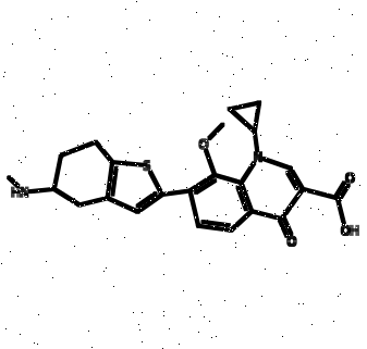 CNC1CCc2sc(-c3ccc4c(=O)c(C(=O)O)cn(C5CC5)c4c3OC)cc2C1